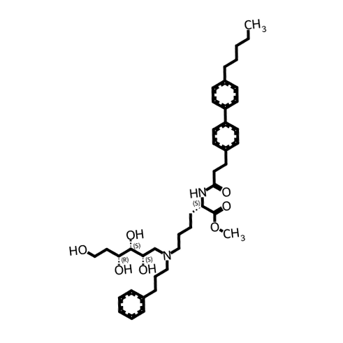 CCCCCc1ccc(-c2ccc(CCC(=O)N[C@@H](CCCCN(CCCc3ccccc3)C[C@H](O)[C@@H](O)[C@H](O)CCO)C(=O)OC)cc2)cc1